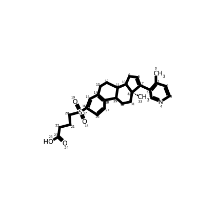 Cc1ccncc1C1=CCC2C3CCc4cc(S(=O)(=O)CCCC(=O)O)ccc4C3CC[C@]12C